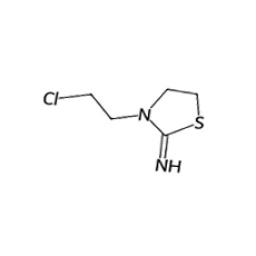 N=C1SCCN1CCCl